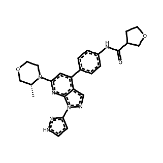 C[C@@H]1COCCN1c1cc(-c2ccc(NC(=O)C3CCOC3)cc2)c2cnn(-c3cc[nH]n3)c2n1